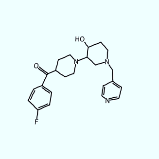 O=C(c1ccc(F)cc1)C1CCN(C2CN(Cc3ccncc3)CCC2O)CC1